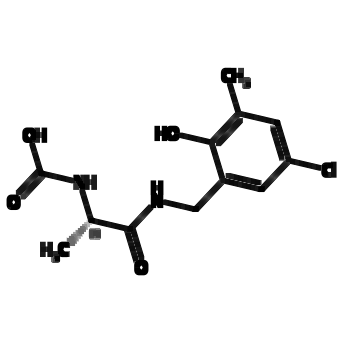 Cc1cc(Cl)cc(CNC(=O)[C@H](C)NC(=O)O)c1O